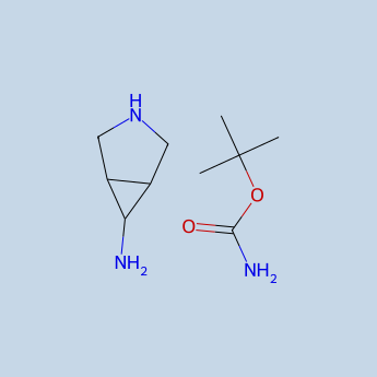 CC(C)(C)OC(N)=O.NC1C2CNCC12